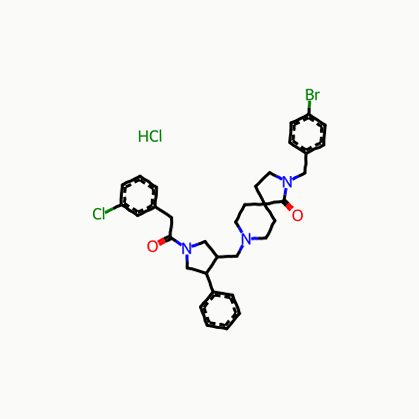 Cl.O=C(Cc1cccc(Cl)c1)N1CC(CN2CCC3(CC2)CCN(Cc2ccc(Br)cc2)C3=O)C(c2ccccc2)C1